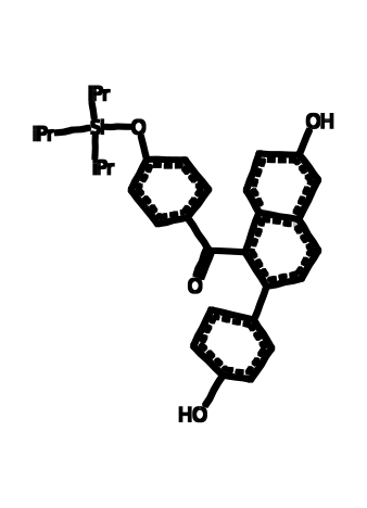 CC(C)[Si](Oc1ccc(C(=O)c2c(-c3ccc(O)cc3)ccc3cc(O)ccc23)cc1)(C(C)C)C(C)C